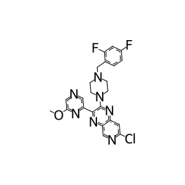 COc1cncc(-c2nc3cnc(Cl)cc3nc2N2CCN(Cc3ccc(F)cc3F)CC2)n1